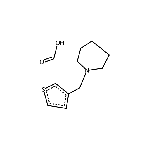 O=CO.c1cc(CN2CCCCC2)cs1